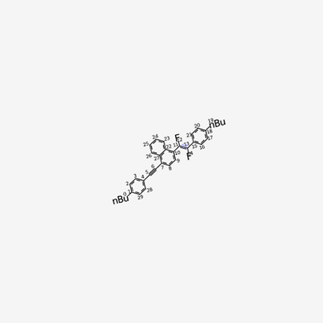 CCCCc1ccc(C#Cc2ccc(/C(F)=C(\F)c3ccc(CCCC)cc3)c3ccccc23)cc1